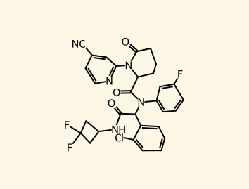 N#Cc1ccnc(N2C(=O)CCCC2C(=O)N(c2cccc(F)c2)C(C(=O)NC2CC(F)(F)C2)c2ccccc2Cl)c1